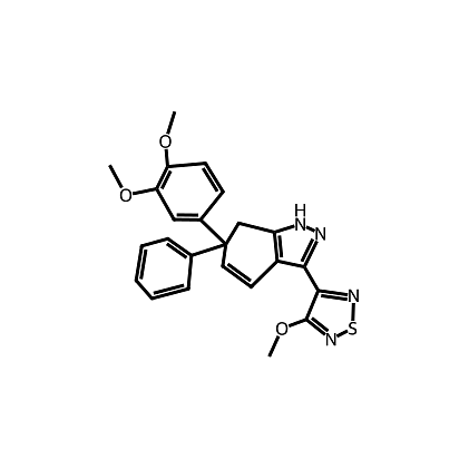 COc1ccc(C2(c3ccccc3)C=Cc3c(-c4nsnc4OC)n[nH]c3C2)cc1OC